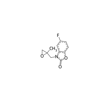 CC1(Cn2c(=O)oc3ccc(F)cc32)CO1